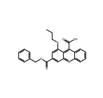 CCCOc1cc(C(=O)OCc2ccccc2)cc2nc3ccccc3c(C(=O)O)c12